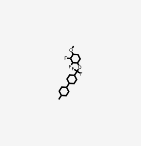 COC1CCC(OC(F)(F)C2CCC(C3CCC(C)CC3)CC2)C(F)C1F